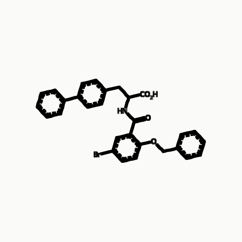 O=C(NC(Cc1ccc(-c2ccccc2)cc1)C(=O)O)c1cc(Br)ccc1OCc1ccccc1